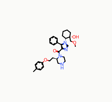 COC[C@]1(O)CCCC[C@H]1n1cnc(C(=O)N2CCNC[C@H]2CCOc2ccc(C)cc2)c1-c1ccccc1